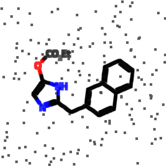 CCOC(=O)Oc1cnc(Cc2ccc3ccccc3c2)[nH]1